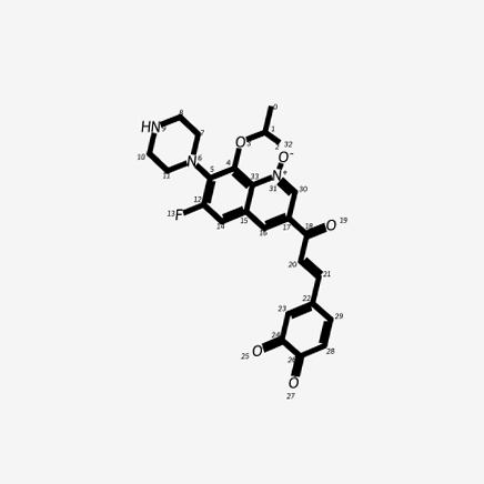 CC(C)Oc1c(N2CCNCC2)c(F)cc2cc(C(=O)C=CC3=CC(=O)C(=O)C=C3)c[n+]([O-])c12